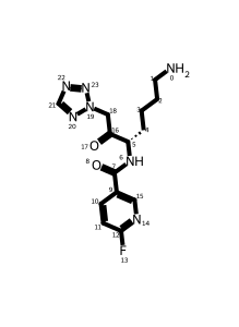 NCCCC[C@H](NC(=O)c1ccc(F)nc1)C(=O)Cn1ncnn1